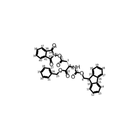 O=C(C[C@H](NC(=O)OCC1c2ccccc2-c2ccccc21)C(=O)OCc1ccccc1)ON1C(=O)c2ccccc2C1=O